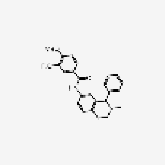 COc1ccc(C(=O)Nc2ccc3c(c2)C(c2ccccc2)N(C)CC3)cc1C(F)(F)F